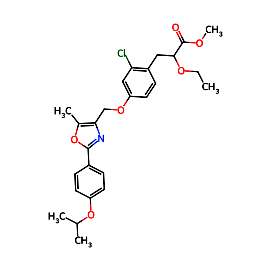 CCOC(Cc1ccc(OCc2nc(-c3ccc(OC(C)C)cc3)oc2C)cc1Cl)C(=O)OC